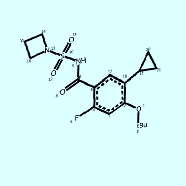 CC(C)(C)Oc1cc(F)c(C(=O)NS(=O)(=O)N2CCC2)cc1C1CC1